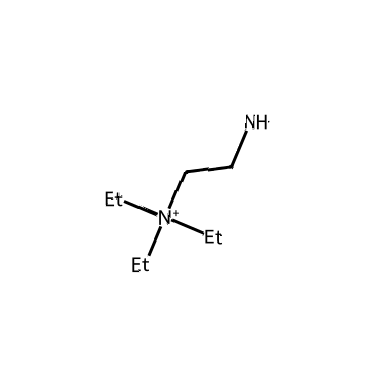 CC[N+](CC)(CC)CC[NH]